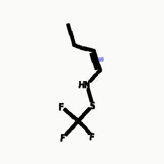 CC/C=C\NSC(F)(F)F